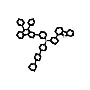 c1ccc(-c2ccc(-c3ccc(N(c4cccc(-c5ccc6c(c5)c(-c5ccccc5)c(-c5ccccc5)c5ccccc56)c4)c4cccc(-c5cccc6c5oc5ccccc56)c4)cc3)cc2)cc1